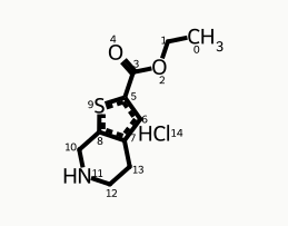 CCOC(=O)c1cc2c(s1)CNCC2.Cl